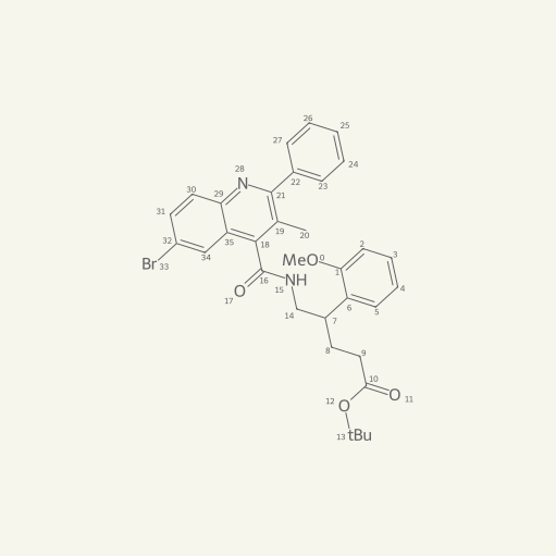 COc1ccccc1C(CCC(=O)OC(C)(C)C)CNC(=O)c1c(C)c(-c2ccccc2)nc2ccc(Br)cc12